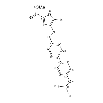 COC(=O)c1cc(CSc2ccc(-c3ccc(OC(F)F)cc3)cc2)c(C)o1